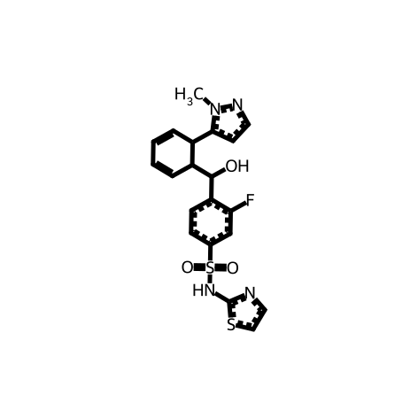 Cn1nccc1C1C=CC=CC1C(O)c1ccc(S(=O)(=O)Nc2nccs2)cc1F